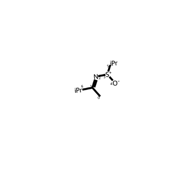 CC(=N[S+]([O-])C(C)C)C(C)C